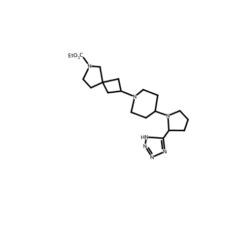 CCOC(=O)N1CCC2(CC(N3CCC(N4CCCC4c4nnn[nH]4)CC3)C2)C1